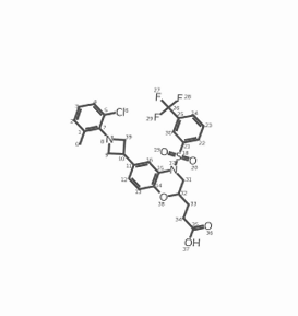 Cc1cccc(Cl)c1N1CC(c2ccc3c(c2)N(S(=O)(=O)c2cccc(C(F)(F)F)c2)CC(CCC(=O)O)O3)C1